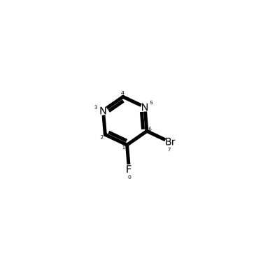 Fc1cncnc1Br